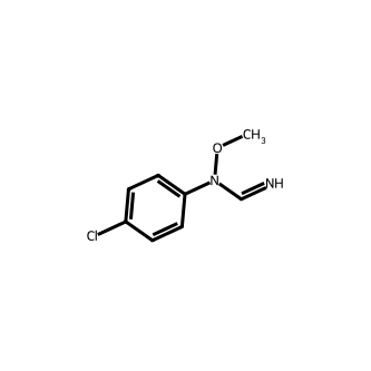 CON(C=N)c1ccc(Cl)cc1